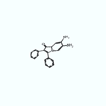 NC1=[C]N2C(c3ccccc3)=C(c3ccccc3)C(=O)C2C=C1N